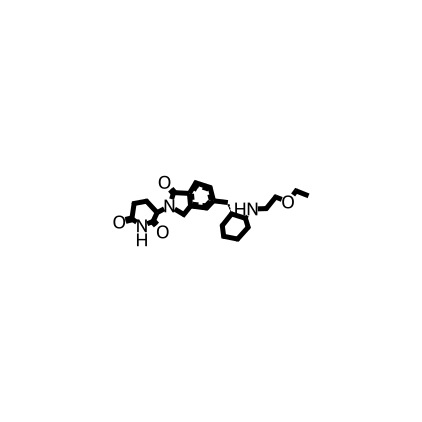 CCOCCN[C@H]1CCCC[C@@H]1Cc1ccc2c(c1)CN(C1CCC(=O)NC1=O)C2=O